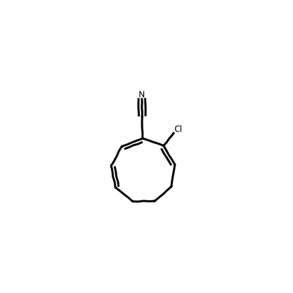 N#CC1=C/C=C\CCC/C=C\1Cl